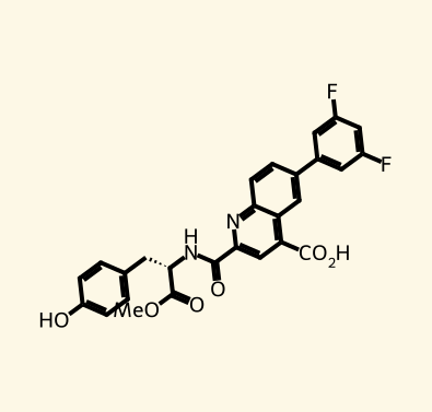 COC(=O)[C@H](Cc1ccc(O)cc1)NC(=O)c1cc(C(=O)O)c2cc(-c3cc(F)cc(F)c3)ccc2n1